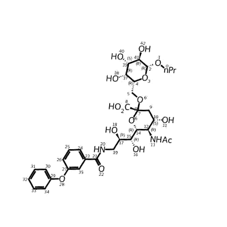 CCCO[C@@H]1O[C@H](CO[C@]2(C(=O)O)C[C@H](O)[C@@H](NC(C)=O)[C@H]([C@H](O)[C@H](O)CNC(=O)c3cccc(Oc4ccccc4)c3)O2)[C@H](O)[C@H](O)[C@H]1O